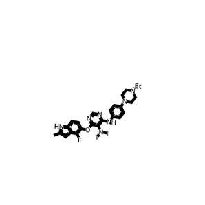 CCN1CCN(c2ccc(Nc3ncnc(Oc4ccc5[nH]c(C)cc5c4F)c3N(I)I)cc2)CC1